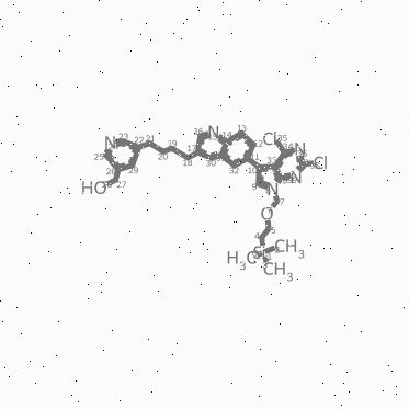 C[Si](C)(C)CCOCn1cc(-c2ccc3ncc(CCCCc4cncc(CO)c4)cc3c2)c2c(Cl)nc(Cl)nc21